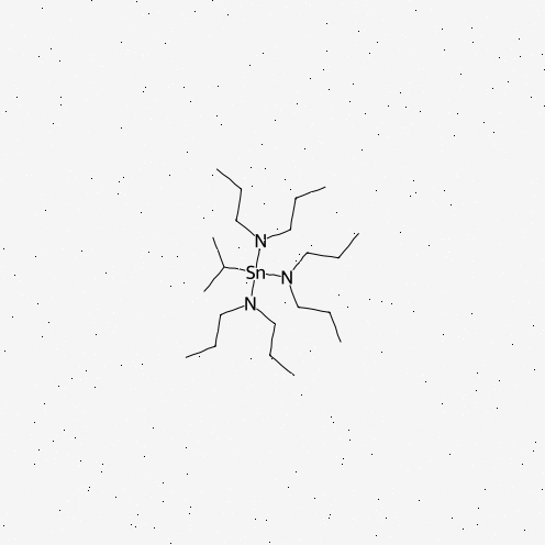 CCC[N](CCC)[Sn]([CH](C)C)([N](CCC)CCC)[N](CCC)CCC